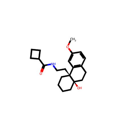 COc1ccc2c(c1)[C@@]1(CCNC(=O)C3CCC3)CCCC[C@@]1(O)CC2